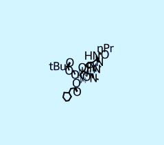 CCCC(=O)Nc1ncnn2c([C@]3(C=NC)O[C@H](COC(=O)CC4CCCCC4)[C@@H](OCOC(=O)C(C)(C)C)[C@H]3O)ccc12